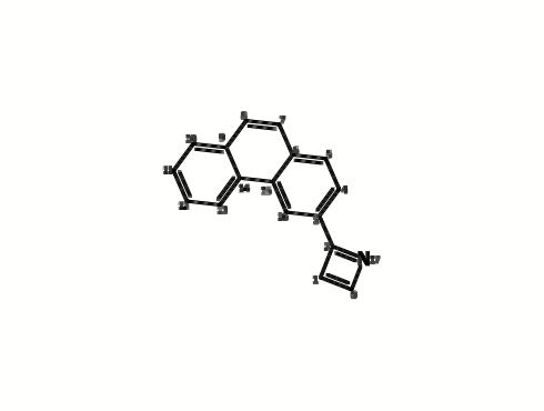 C1=CC(c2ccc3ccc4ccccc4c3c2)=N1